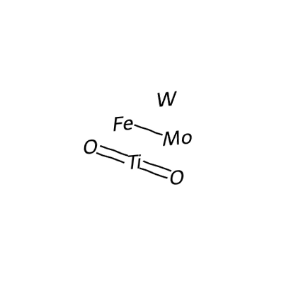 [Fe][Mo].[O]=[Ti]=[O].[W]